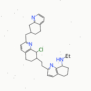 CCNC1CCCc2ccc(CCC3CCc4ccc(CC5CCc6cccnc6C5)nc4C3Cl)nc21